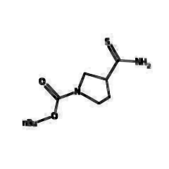 CCCCOC(=O)N1CCC(C(N)=S)C1